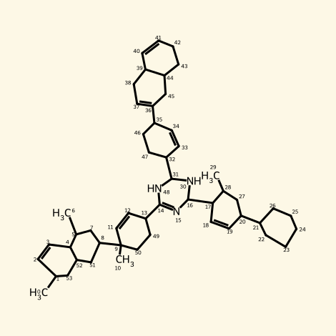 CC1C=CC2C(C)CC(C3(C)C=CC(C4=NC(C5C=CC(C6CCCCC6)CC5C)NC(C5C=CC(C6=CCC7C=CCCC7C6)CC5)N4)CC3)CC2C1